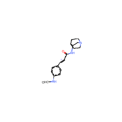 O=CNc1ccc(/C=C/C(=O)NC2CN3CCC2CC3)cc1